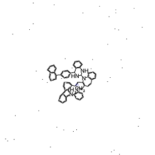 C=CC1=C(/C=C(\C)c2cccc3c4ccccc4n(-c4ccccc4)c23)N(C2Nc3ccccc3C(c3ccc(-c4cccc5ccccc45)cc3)N2)c2ccccc2C=C1